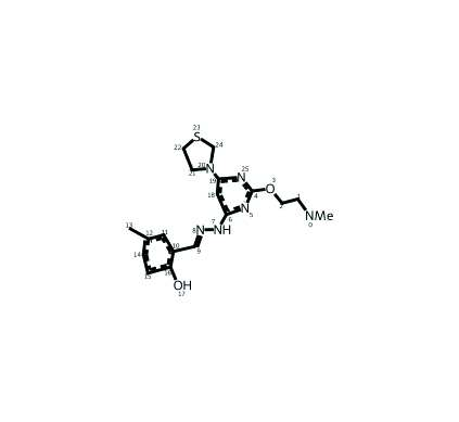 CNCCOc1nc(NN=Cc2cc(C)ccc2O)cc(N2CCSC2)n1